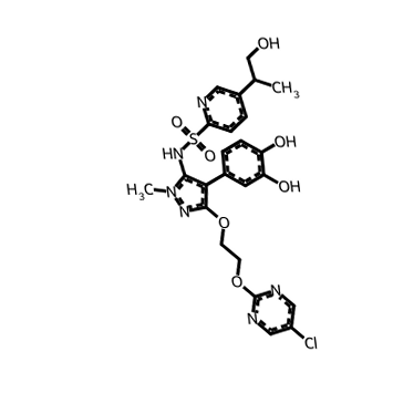 CC(CO)c1ccc(S(=O)(=O)Nc2c(-c3ccc(O)c(O)c3)c(OCCOc3ncc(Cl)cn3)nn2C)nc1